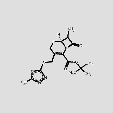 Cc1nnc(SCC2=C(C(=O)OC(C)(C)C)N3C(=O)C(N)[C@@H]3SC2)o1